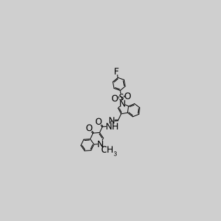 Cn1cc(C(=O)NN=Cc2cn(S(=O)(=O)c3ccc(F)cc3)c3ccccc23)c(=O)c2ccccc21